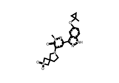 Cn1nc(-c2n[nH]c3ccc(OC4(C)CC4)cc23)cc(N2CCC3(C2)CS(=O)(=O)C3)c1=O